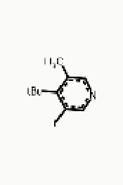 Cc1cncc(I)c1C(C)(C)C